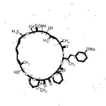 CO[C@H]1CCC[C@@H](C[C@@H](C)[C@@H]2CC(=O)[C@H](C)/C=C(\C)[C@@H](O)[C@@H](OC)C(=O)[C@H](C)C[C@H](C)/C=C/C=C/C=C(\C)[C@@H](O)C[C@@H]3CC[C@@H](C)[C@@](O)(O3)C(=O)C(=O)N3CCCC[C@H]3C(=O)O2)C1